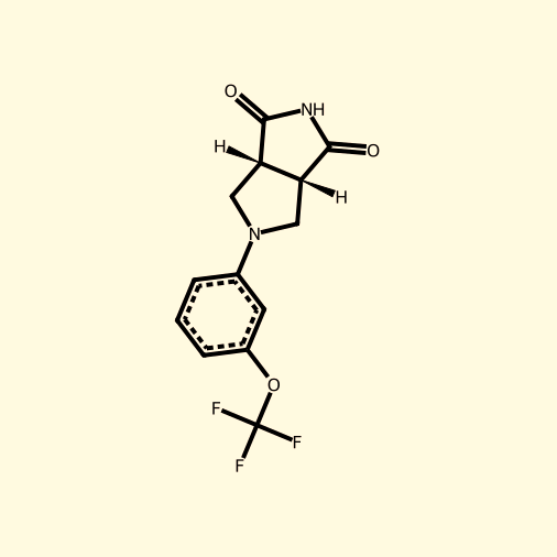 O=C1NC(=O)[C@@H]2CN(c3cccc(OC(F)(F)F)c3)C[C@H]12